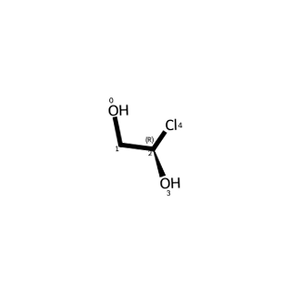 OC[C@H](O)Cl